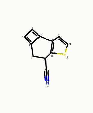 N#CC1CC2=CC=C2c2ccsc21